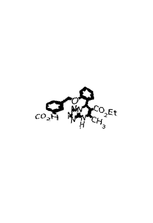 CCOC(=O)C1=C(C)Nc2nnnn2C1c1ccccc1OCc1cccc(C(=O)O)c1